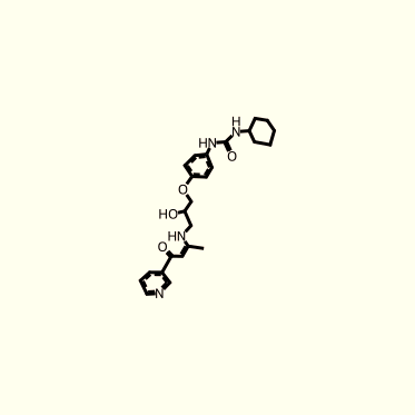 CC(=CC(=O)c1cccnc1)NCC(O)COc1ccc(NC(=O)NC2CCCCC2)cc1